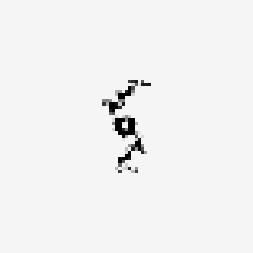 COCCOC(=O)Oc1ccc(OC(=O)OCCOC)nc1